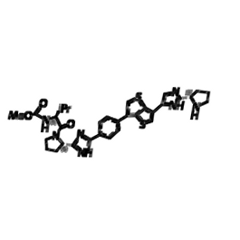 COC(=O)N[C@H](C(=O)N1CCC[C@H]1c1nc(-c2ccc(-c3csc4c(-c5cnc([C@@H]6CCCN6)[nH]5)csc34)cc2)c[nH]1)C(C)C